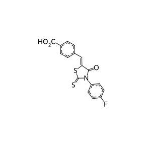 O=C(O)c1ccc(/C=C2\SC(=S)N(c3ccc(F)cc3)C2=O)cc1